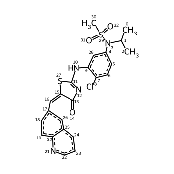 CC(C)N(c1ccc(Cl)c(NC2=NC(=O)C(=Cc3ccc4ncccc4c3)S2)c1)S(C)(=O)=O